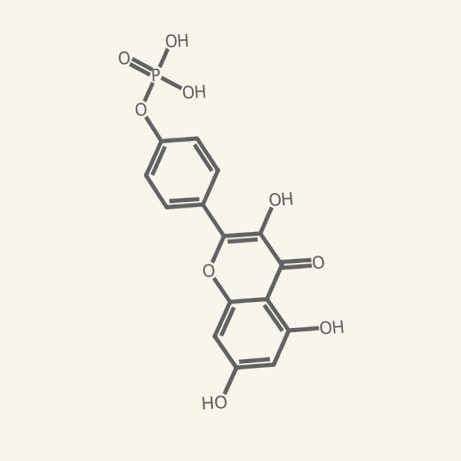 O=c1c(O)c(-c2ccc(OP(=O)(O)O)cc2)oc2cc(O)cc(O)c12